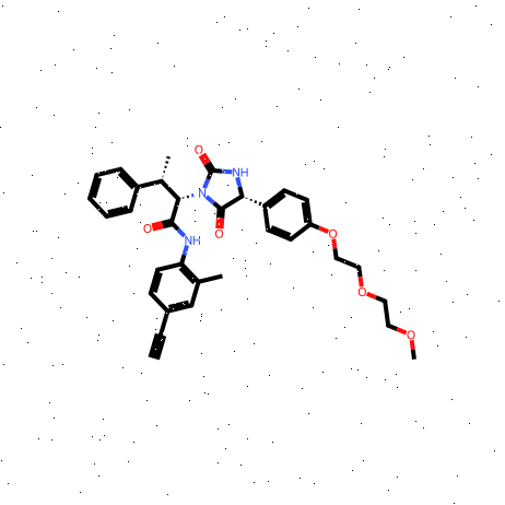 C#Cc1ccc(NC(=O)[C@H]([C@@H](C)c2ccccc2)N2C(=O)N[C@H](c3ccc(OCCOCCOC)cc3)C2=O)c(C)c1